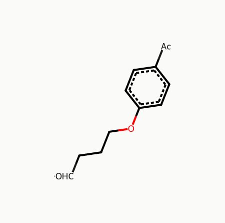 CC(=O)c1ccc(OCCC[C]=O)cc1